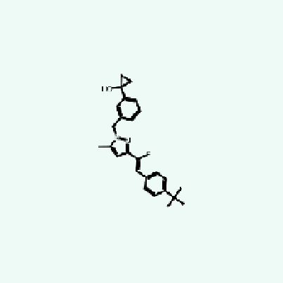 Cc1cc(C(F)=Cc2ccc(C(C)(C)C)cc2)nn1Cc1cccc(C2(O)CC2)c1